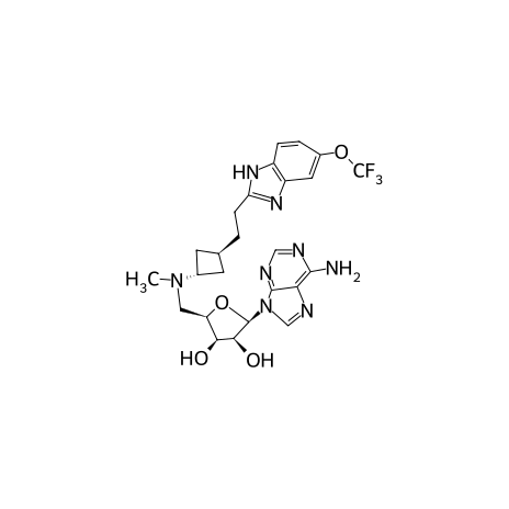 CN(C[C@H]1O[C@@H](n2cnc3c(N)ncnc32)[C@@H](O)[C@H]1O)[C@H]1C[C@H](CCc2nc3cc(OC(F)(F)F)ccc3[nH]2)C1